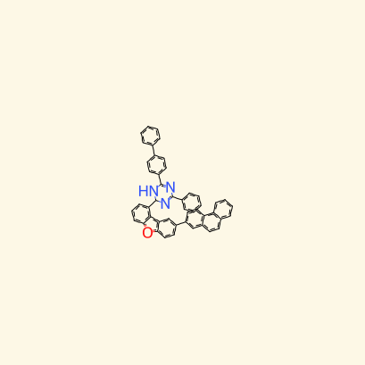 c1ccc(C2=NC(c3cccc4oc5ccc(-c6ccc7c(ccc8ccccc87)c6)cc5c34)NC(c3ccc(-c4ccccc4)cc3)=N2)cc1